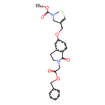 CN(C/C(=C\F)COc1ccc2c(c1)CCN(CC(=O)OCc1ccccc1)C2=O)C(=O)OC(C)(C)C